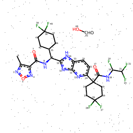 Cc1nonc1C(=O)N[C@H](c1nc2nc(C3(C(=O)NC(F)C(F)F)CCC(F)(F)CC3)ccc2[nH]1)C1CCC(F)(F)CC1.O=CO